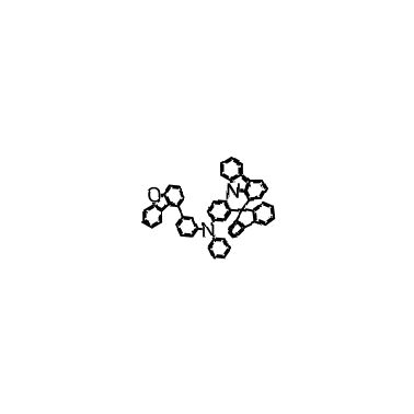 c1ccc(N(c2cccc(-c3cccc4oc5ccccc5c34)c2)c2ccc3c(c2)C2(c4ccccc4-c4ccccc42)c2cccc4c5ccccc5n-3c24)cc1